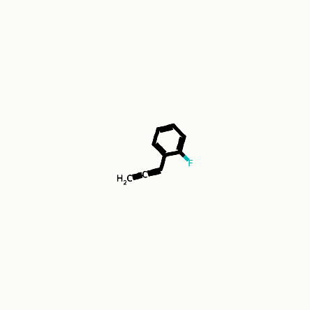 C=C=Cc1ccccc1F